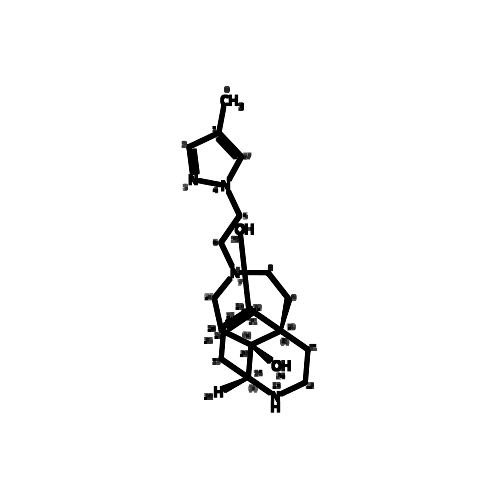 Cc1cnn(CCN2CC[C@]34CCN[C@H](Cc5ccc(O)cc53)[C@]4(O)CC2)c1